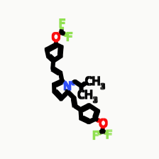 CC(C)C[n+]1c(/C=C/c2ccc(OC(F)F)cc2)cccc1/C=C/c1ccc(OC(F)F)cc1